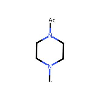 [CH2]N1CCN(C(C)=O)CC1